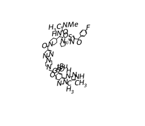 CNC(C)C(=O)NC(C(=O)N1CCC[C@H]1c1nc(C(=O)c2ccc(F)cc2)cs1)C1CCN(C(=O)c2cnc(N3CCN(CCOc4cc5ncnc(Nc6n[nH]c(C)c6C)c5cc4S(=O)(=O)C(C)(C)C)CC3)nc2)CC1